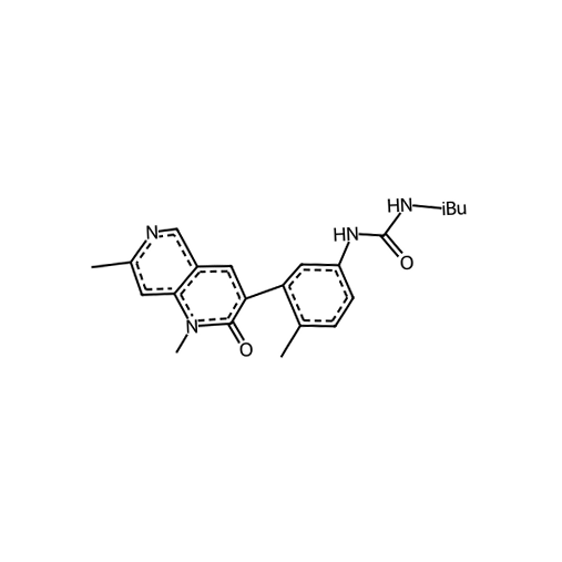 CCC(C)NC(=O)Nc1ccc(C)c(-c2cc3cnc(C)cc3n(C)c2=O)c1